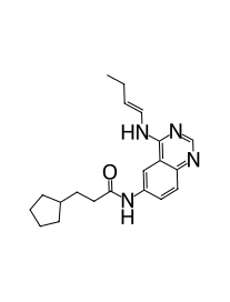 CCC=CNc1ncnc2ccc(NC(=O)CCC3CCCC3)cc12